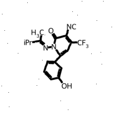 [C-]#[N+]c1c(C(F)(F)F)cc(-c2cccc(O)c2)n(/N=C(\C)C(C)C)c1=O